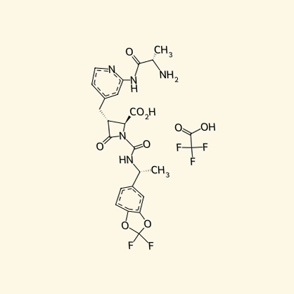 C[C@H](N)C(=O)Nc1cc(C[C@H]2C(=O)N(C(=O)N[C@H](C)c3ccc4c(c3)OC(F)(F)O4)[C@@H]2C(=O)O)ccn1.O=C(O)C(F)(F)F